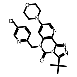 CC(C)(C)c1nnc2c3ncc(N4CCOCC4)cc3n(Cc3ccc(Cl)cn3)c(=O)n12